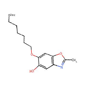 CCCCCCCCCCCCCCCCOc1cc2oc(C)nc2cc1O